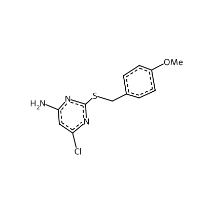 COc1ccc(CSc2nc(N)cc(Cl)n2)cc1